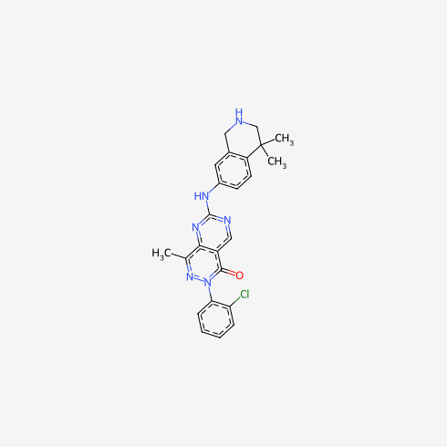 Cc1nn(-c2ccccc2Cl)c(=O)c2cnc(Nc3ccc4c(c3)CNCC4(C)C)nc12